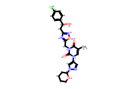 Cc1cn(-c2cnn(C3CCCCO3)c2)c(=O)n(Cc2nc(C[C@H](O)c3ccc(Cl)cc3)no2)c1=O